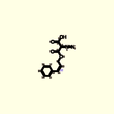 [N-]=[N+]=C(C(=O)O)C(=O)OC/C=C\c1ccccc1